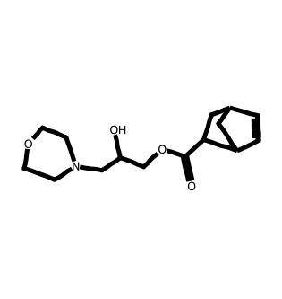 O=C(OCC(O)CN1CCOCC1)C1CC2C=CC1C2